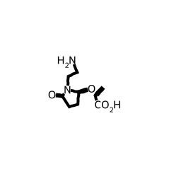 C=CC(=O)O.NCCN1C(=O)CCC1=O